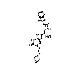 Cc1c(CN(C)C(=O)/C=C/c2cnc3c(c2)CN(CCCN2CCOCC2)CC(=O)N3)sc2ccccc12.Cl